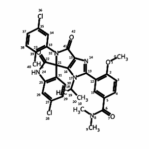 COc1ccc(C(=O)N(C)C)cc1-c1nc2c(n1C(C)C)C1(C(=O)Nc3cc(Cl)ccc31)N(c1cc(Cl)ccc1C)C2=O